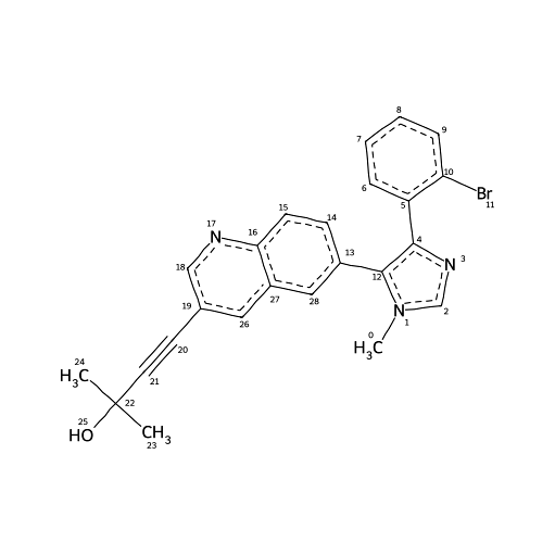 Cn1cnc(-c2ccccc2Br)c1-c1ccc2ncc(C#CC(C)(C)O)cc2c1